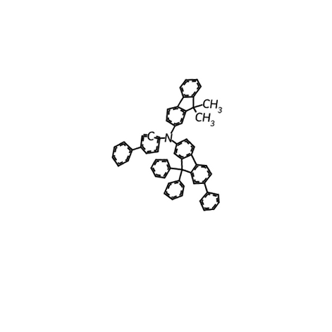 CC1(C)c2ccccc2-c2ccc(N(c3ccc(-c4ccccc4)cc3)c3ccc4c(c3)C(c3ccccc3)(c3ccccc3)c3cc(-c5ccccc5)ccc3-4)cc21